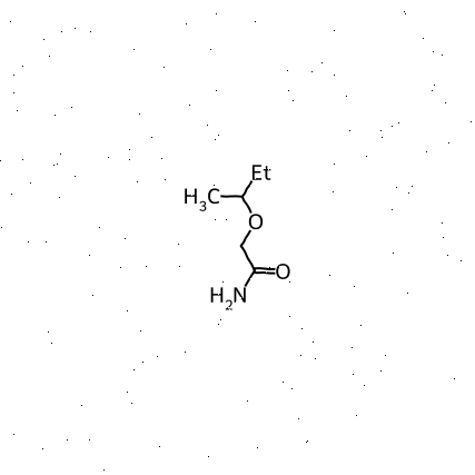 CCC(C)OCC(N)=O